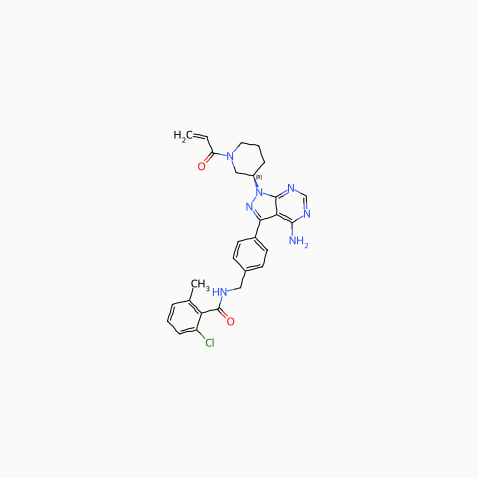 C=CC(=O)N1CCC[C@@H](n2nc(-c3ccc(CNC(=O)c4c(C)cccc4Cl)cc3)c3c(N)ncnc32)C1